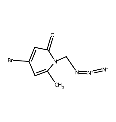 Cc1cc(Br)cc(=O)n1CN=[N+]=[N-]